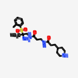 Cc1ccccc1S(=O)(=O)C(N)(CNC(=O)CCNC(=O)CCC1CCNCC1)C(=O)O